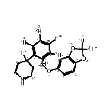 [2H]c1c([2H])c(C2([2H])CCNC[C@H]2COc2ccc3c(c2)OC([2H])([2H])O3)c([2H])c([2H])c1F